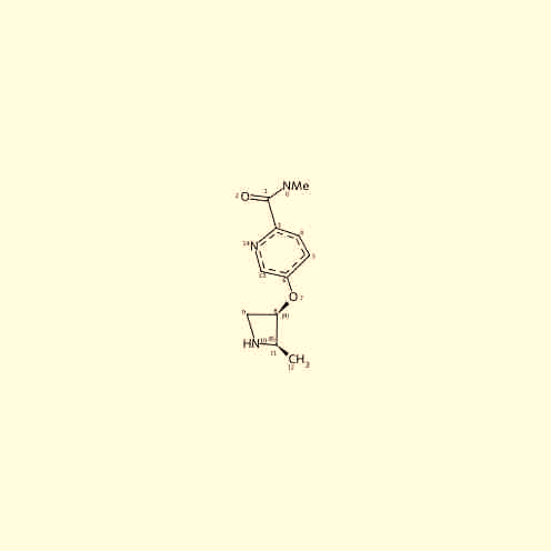 CNC(=O)c1ccc(O[C@@H]2CN[C@@H]2C)cn1